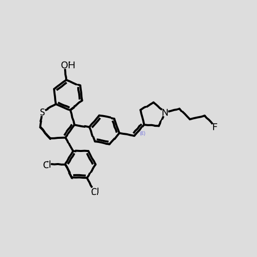 Oc1ccc2c(c1)SCCC(c1ccc(Cl)cc1Cl)=C2c1ccc(/C=C2\CCN(CCCF)C2)cc1